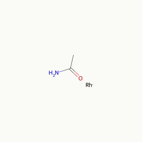 CC(N)=O.[Rh]